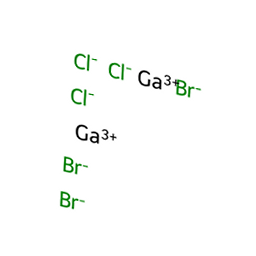 [Br-].[Br-].[Br-].[Cl-].[Cl-].[Cl-].[Ga+3].[Ga+3]